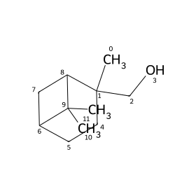 CC1(CO)CCC2CC1C2(C)C